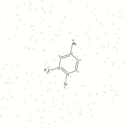 CC(C)c1ccc(Br)c(C(F)(F)F)c1